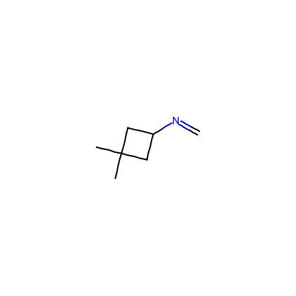 C=NC1CC(C)(C)C1